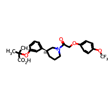 CC(C)(Oc1cccc([C@@H]2CCCN(C(=O)COc3ccc(OC(F)(F)F)cc3)C2)c1)C(=O)O